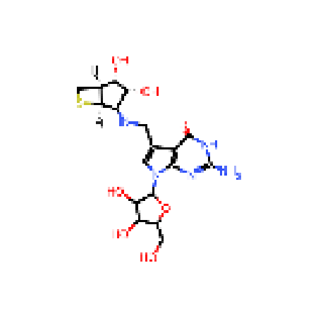 Nc1nc2c(c(CN[C@@H]3[C@@H](O)[C@@H](O)[C@@H]4CS[C@@H]43)cn2C2OC(CO)C(O)C2O)c(=O)[nH]1